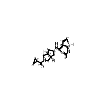 Cc1nc(N[C@@H]2C[C@@H]3CN(C(=O)C4CC4)C[C@@H]3C2)c2cc[nH]c2n1